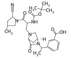 CC1CC(C#N)N(C(=O)C(CN2C[C@@H]3CC2C(=O)N3C(C)c2cccc(C(=O)O)c2)NC(=O)OC(C)(C)C)C1